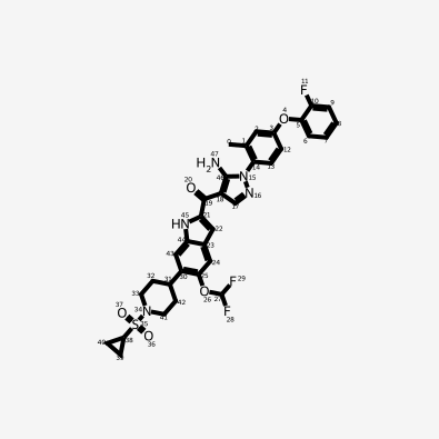 Cc1cc(Oc2ccccc2F)ccc1-n1ncc(C(=O)c2cc3cc(OC(F)F)c(C4CCN(S(=O)(=O)C5CC5)CC4)cc3[nH]2)c1N